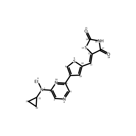 CCN(c1cncc(-c2csc(/C=C3\SC(=O)NC3=O)c2)n1)C1CC1